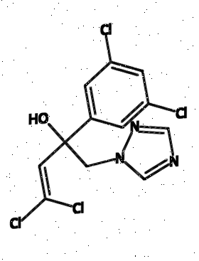 OC(C=C(Cl)Cl)(Cn1cncn1)c1cc(Cl)cc(Cl)c1